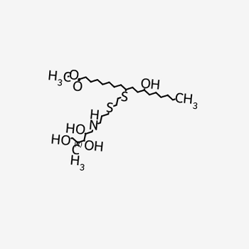 CCCCCCC(O)CCC(CCCCCCCC(=O)OC)SCCSCCCNCC(O)C(O)[C@H](C)CO